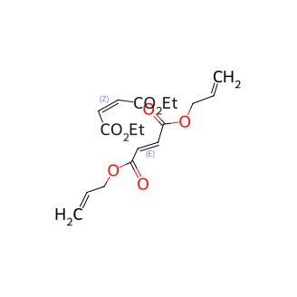 C=CCOC(=O)/C=C/C(=O)OCC=C.CCOC(=O)/C=C\C(=O)OCC